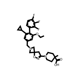 CCOc1cc(CN2CC3(CC(N4CCC(C)(C(=O)O)CC4)=NO3)C2)cc(C2CC2)c1-c1ccc(F)c(F)c1F